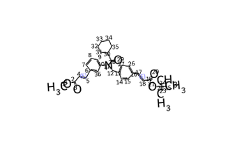 COC(=O)/C=C/c1cccc(N(Cc2ccc(/C=C/C(=O)OC(C)(C)C)cc2)C(=O)C2CCCCC2)c1